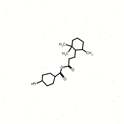 CCCC1CCC(C(=O)OC(=O)CCC2C(C)CCCC2(C)C)CC1